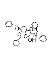 O=C(O)C(C(O)c1ccc(OCc2ccccc2)c(OCc2ccccc2)c1)N(Cc1ccccc1)Cc1ccccc1